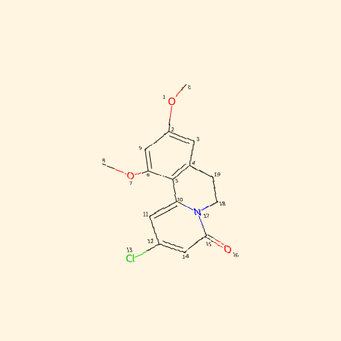 COc1cc2c(c(OC)c1)-c1cc(Cl)cc(=O)n1CC2